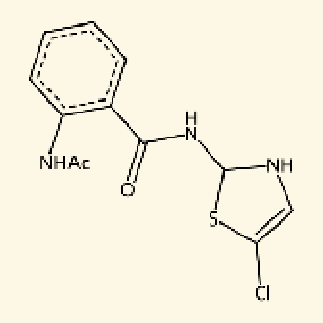 CC(=O)Nc1ccccc1C(=O)NC1NC=C(Cl)S1